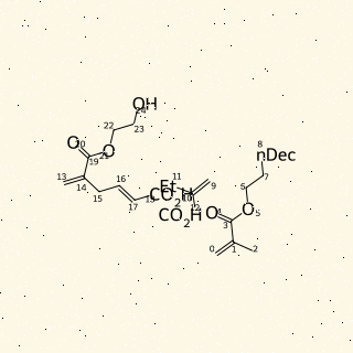 C=C(C)C(=O)OCCCCCCCCCCCC.C=C(CC)C(=O)O.C=C(CC=CC(=O)O)C(=O)OCCO